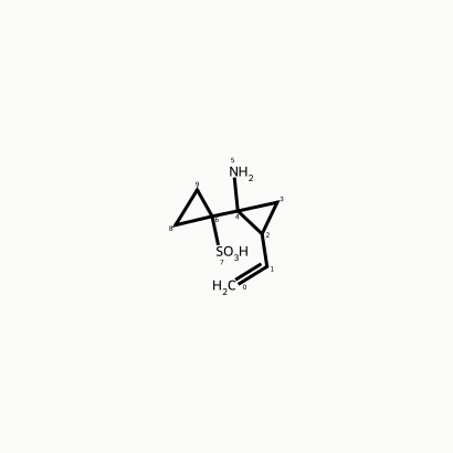 C=CC1CC1(N)C1(S(=O)(=O)O)CC1